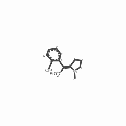 CCOC(=O)/C(=C1/CCCN1C)c1ccccc1Cl